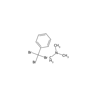 BrC(Br)(Br)c1ccccc1.CN(C)C